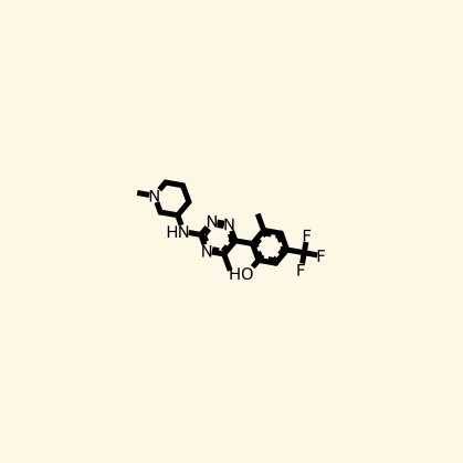 Cc1cc(C(F)(F)F)cc(O)c1-c1nnc(NC2CCCN(C)C2)nc1C